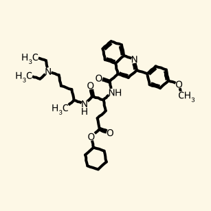 CCN(CC)CCCC(C)NC(=O)C(CCC(=O)OC1CCCCC1)NC(=O)c1cc(-c2ccc(OC)cc2)nc2ccccc12